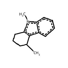 CC1CCCc2c1c1ccccc1n2C